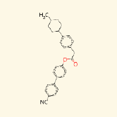 CC1CCC(c2ccc(CC(=O)Oc3ccc(-c4ccc(C#N)cc4)cc3)cc2)CC1